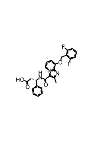 Cc1nc2c(OCc3c(F)cccc3F)cccn2c1C(=O)N[C@@H](CC(=O)O)c1ccccc1